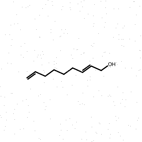 C=CCCCCC=CCO